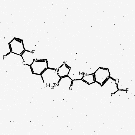 Cc1cc(Oc2c(F)cccc2F)ncc1-n1ncc(C(=O)c2cc3cc(OC(F)F)ccc3[nH]2)c1N